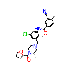 Cc1ccc(C(=O)Nc2cc(Cl)cc(CN3CCN(C(=O)[C@H]4CCCO4)[C@@H](C)C3)c2C)cc1C#N